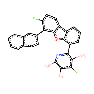 Bc1nc(-c2cccc3c2oc2c(-c4ccc5ccccc5c4)c(F)ccc23)c(B)c(F)c1B